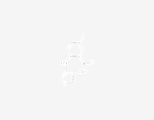 O=C1Nc2cscc2Nc2ccc(F)cc21